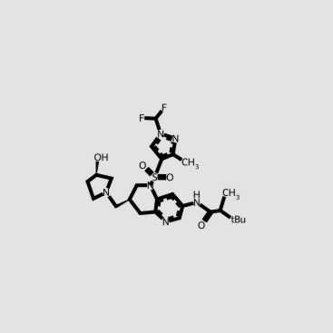 Cc1nn(C(F)F)cc1S(=O)(=O)N1C[C@H](CN2CC[C@@H](O)C2)Cc2ncc(NC(=O)C(C)C(C)(C)C)cc21